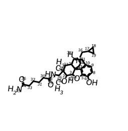 COC1[C@@H]2Oc3c(O)ccc4c3C23CCN(CC2CC2)[C@H](C4)C3C[C@@]1(C)CNC(=O)CCCCC(N)=O